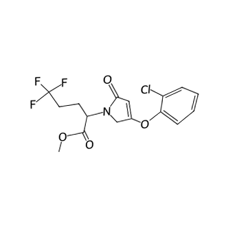 COC(=O)C(CCC(F)(F)F)N1CC(Oc2ccccc2Cl)=CC1=O